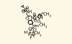 CCOc1nn(CC)cc1S(=O)(=O)N1C[C@H](CNS(=O)(=O)C2CC2)Oc2ccc(NC(=O)OC(C)(C)C(F)(F)F)cc21